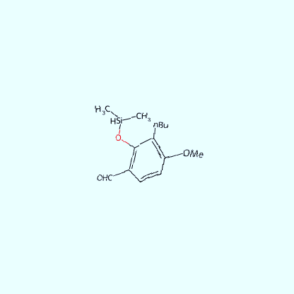 CCCCc1c(OC)ccc(C=O)c1O[SiH](C)C